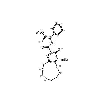 CCCCn1c2c(cc(C(=O)N[C@@H](C(=O)OC)c3ccccc3)c1=O)CCCCCCCC2